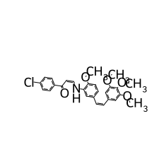 COc1ccc(/C=C\c2cc(OC)c(OC)c(OC)c2)cc1N/C=C\C(=O)c1ccc(Cl)cc1